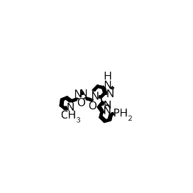 Cc1cccc(-c2nnc(C(=O)N3CCc4[nH]cnc4[C@H]3c3cc4cccc(P)n4n3)o2)n1